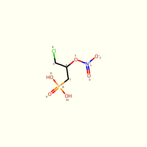 O=[N+]([O-])OC(CCl)CP(=O)(O)O